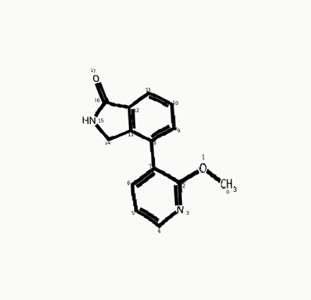 COc1ncccc1-c1cccc2c1CNC2=O